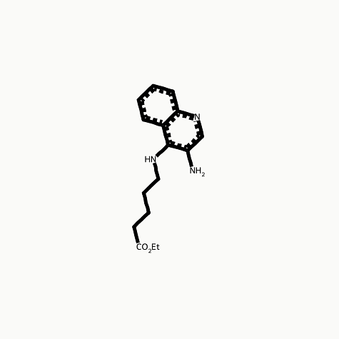 CCOC(=O)CCCCNc1c(N)cnc2ccccc12